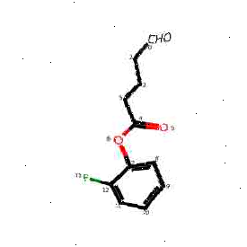 O=CCCCC(=O)Oc1ccccc1F